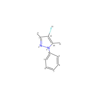 Cc1nn(-c2c[c]ccc2)c(C)c1F